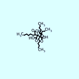 CCCCCCC(C(=O)O)C(OC(=O)CCC)(C(=O)O)C(CCCCCC)(CCCCCC)C(=O)O